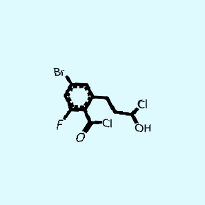 O=C(Cl)c1c(F)cc(Br)cc1CCC(O)Cl